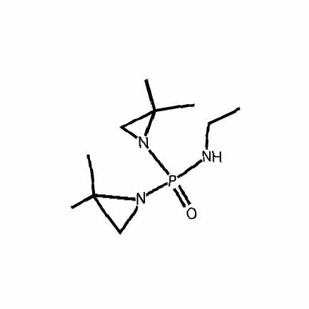 CCNP(=O)(N1CC1(C)C)N1CC1(C)C